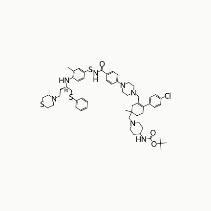 Cc1cc(SNC(=O)c2ccc(N3CCN(CC4=C(c5ccc(Cl)cc5)CCC(C)(CN5CCC(NC(=O)OC(C)(C)C)CC5)C4)CC3)cc2)ccc1N[C@H](CCN1CCSCC1)CSc1ccccc1